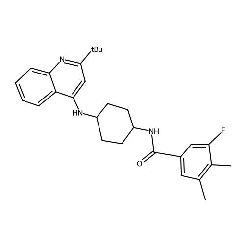 Cc1cc(C(=O)NC2CCC(Nc3cc(C(C)(C)C)nc4ccccc34)CC2)cc(F)c1C